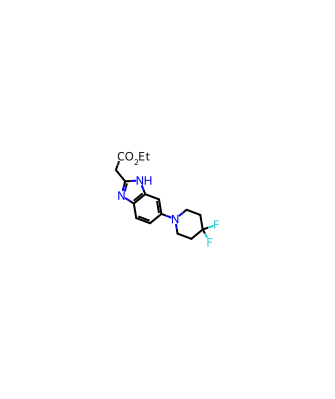 CCOC(=O)Cc1nc2ccc(N3CCC(F)(F)CC3)cc2[nH]1